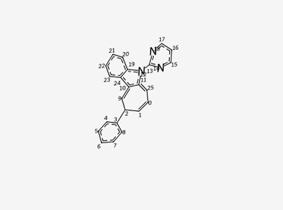 C1=CC(c2ccccc2)C=c2c(n(-c3ncccn3)c3ccccc23)=C1